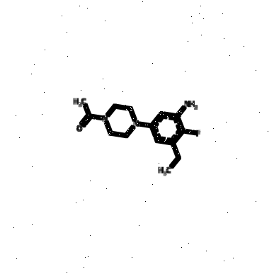 CCc1cc(N2CCN(C(C)=O)CC2)cc(N)c1F